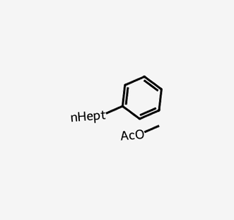 CCCCCCCc1ccccc1.COC(C)=O